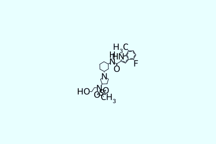 Cc1ccc(F)c2cc(C(=O)N[C@@H]3CCC[C@@H](N4CC[C@@H](N(CCO)S(C)(=O)=O)C4)C3)[nH]c12